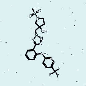 CS(=O)(=O)N1CCC(O)(Cn2nnc(-c3ccccc3Nc3ccc(C(F)(F)F)cc3)n2)C1